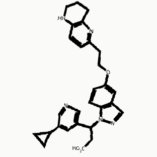 O=C(O)CC(c1cncc(C2CC2)c1)n1ncc2cc(OCCc3ccc4c(n3)CCCN4)ccc21